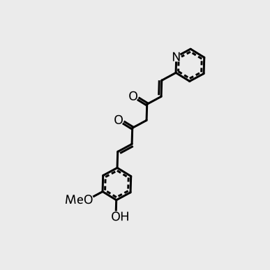 COc1cc(C=CC(=O)CC(=O)C=Cc2ccccn2)ccc1O